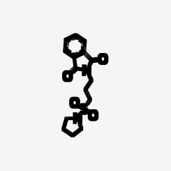 O=C1c2ccccc2C(=O)N1CCCS(=O)(=O)N1CCCC1